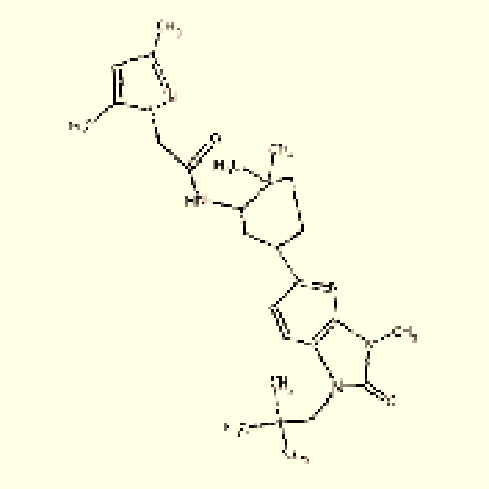 Cc1cc(C)n(CC(=O)NC2CC(c3ccc4c(n3)n(C)c(=O)n4CC(C)(C)C)CCC2(C)C)n1